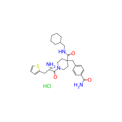 Cl.NC(=O)c1ccc(CC2(C(=O)NCC3CCCCC3)CCN(C(=O)[C@@H](N)Cc3cccs3)CC2)cc1